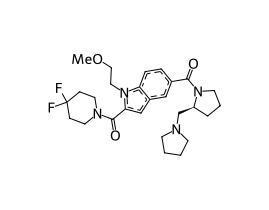 COCCn1c(C(=O)N2CCC(F)(F)CC2)cc2cc(C(=O)N3CCC[C@H]3CN3CCCC3)ccc21